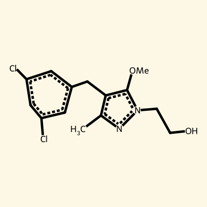 COc1c(Cc2cc(Cl)cc(Cl)c2)c(C)nn1CCO